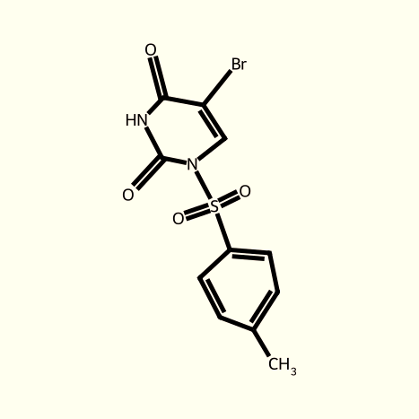 Cc1ccc(S(=O)(=O)n2cc(Br)c(=O)[nH]c2=O)cc1